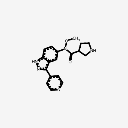 CON(C(=O)C1CCNC1)c1ccc2[nH]nc(-c3ccncc3)c2c1